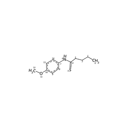 CCCCC(=S)Nc1ccc(OC)cc1